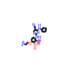 CN(C)CCOc1ccc(Nc2ncc(C#N)c(Nc3ccccc3)n2)c([N+](=O)[O-])c1O